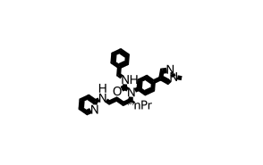 CCC[C@@H](CCCNc1ccccn1)N(C(=O)NCc1ccccc1)c1ccc(-c2cnn(C)c2)cc1